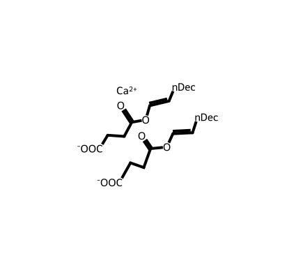 CCCCCCCCCCC=COC(=O)CCC(=O)[O-].CCCCCCCCCCC=COC(=O)CCC(=O)[O-].[Ca+2]